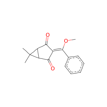 COC(=C1C(=O)C2C(C1=O)C2(C)C)c1ccccc1